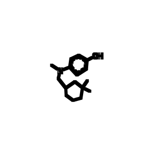 CN(CC1CCCC(C)(C)C1)c1ccc(O)cc1